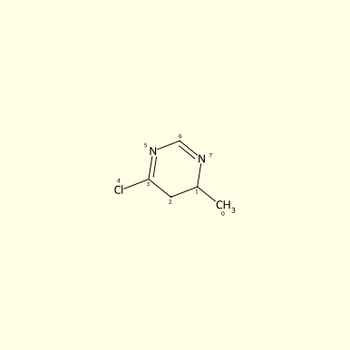 CC1CC(Cl)=NC=N1